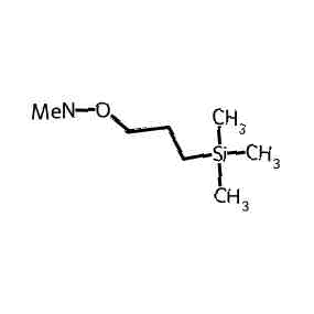 CNOCCC[Si](C)(C)C